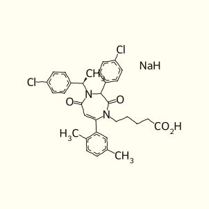 Cc1ccc(C)c(C2=CC(=O)N([C@H](C)c3ccc(Cl)cc3)C(c3ccc(Cl)cc3)C(=O)N2CCCCC(=O)O)c1.[NaH]